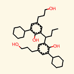 CCCC(c1cc(CCCO)cc(C2CCCCC2)c1O)c1cc(CCCO)cc(C2CCCCC2)c1O